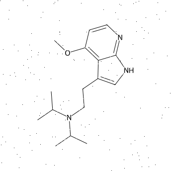 COc1ccnc2[nH]cc(CCN(C(C)C)C(C)C)c12